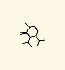 CC(C)C1C(=O)N(C)CCN1C(C)C